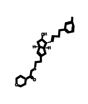 Cc1cccc(CC/C=C/[C@@H]2[C@H]3CC(CCSCC(=O)N4CCOCC4)=C[C@H]3C[C@H]2O)c1